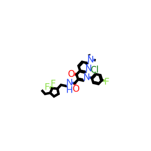 CCC1CCC(CCNC(=O)c2cn(-c3ccc(F)cc3Cl)c3nc(N(C)C)ccc3c2=O)C1(F)F